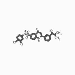 CC(C)C(=O)c1cccc(C2CC(=O)c3cc(S(=O)(=O)Nc4ccc(Cl)c(Cl)c4)ccc3N2)c1